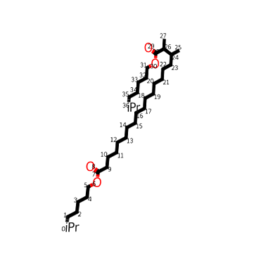 CC(C)CCCCCOC(=O)CCCCCCCCCCCCCCCC(C)C(C)C(=O)OCCCCCC(C)C